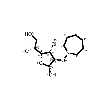 OC[C@@H](O)[C@H]1O[C@H](O)[C@H](ON2CCCCCC2)[C@H]1O